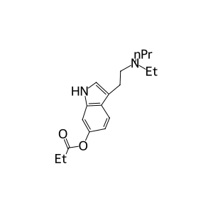 CCCN(CC)CCc1c[nH]c2cc(OC(=O)CC)ccc12